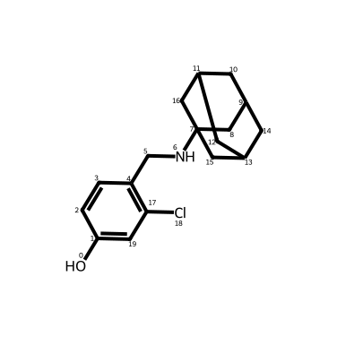 Oc1ccc(CNC23CC4CC(CC(C4)C2)C3)c(Cl)c1